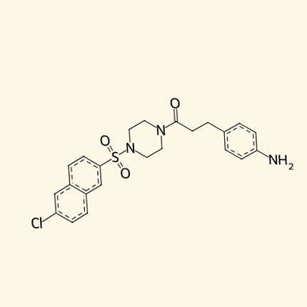 Nc1ccc(CCC(=O)N2CCN(S(=O)(=O)c3ccc4cc(Cl)ccc4c3)CC2)cc1